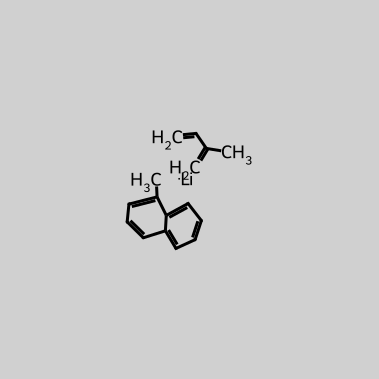 C=CC(=C)C.Cc1cccc2ccccc12.[Li]